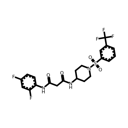 O=C(CC(=O)NC1CCN(S(=O)(=O)c2cccc(C(F)(F)F)c2)CC1)Nc1ccc(F)cc1F